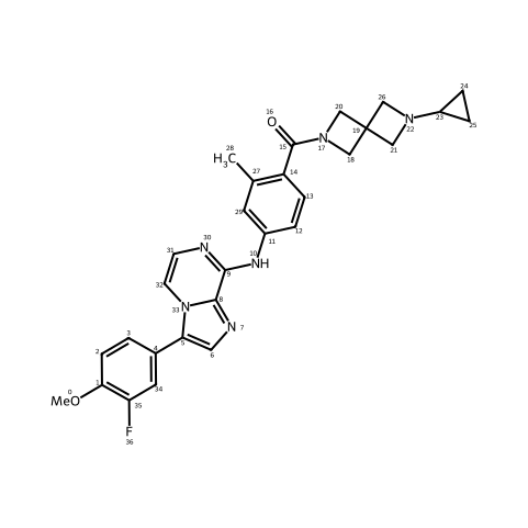 COc1ccc(-c2cnc3c(Nc4ccc(C(=O)N5CC6(C5)CN(C5CC5)C6)c(C)c4)nccn23)cc1F